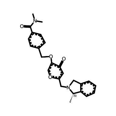 C[C@H]1c2ccccc2CN1Cc1cc(=O)c(OCc2ccc(C(=O)N(C)C)cc2)co1